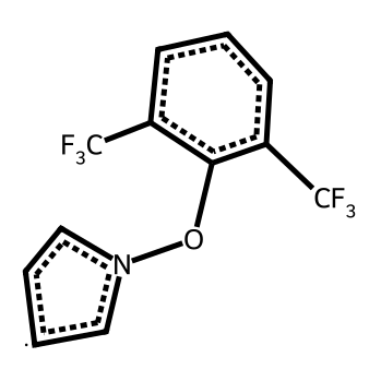 FC(F)(F)c1cccc(C(F)(F)F)c1On1c[c]cc1